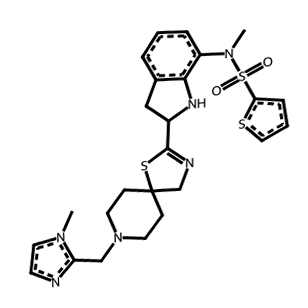 CN(c1cccc2c1NC(C1=NCC3(CCN(Cc4nccn4C)CC3)S1)C2)S(=O)(=O)c1cccs1